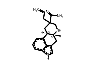 C=CCC1(C(N)=O)CN[C@@H]2Cc3c[nH]c4cccc(c34)[C@H]2C1